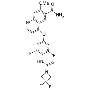 COc1cc2nccc(Oc3cc(F)c(NC(=S)N4CC(F)(F)C4)c(F)c3)c2cc1C(N)=O